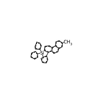 Cc1ccc2c(ccc3c4c(ccc32)[Si](c2ccccc2)(c2ccccc2)c2ccccc2-4)c1